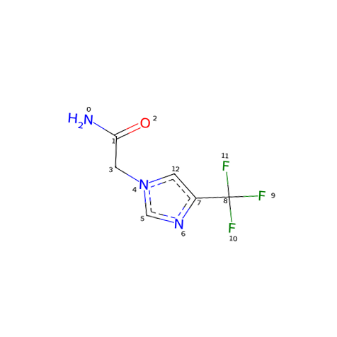 NC(=O)Cn1cnc(C(F)(F)F)c1